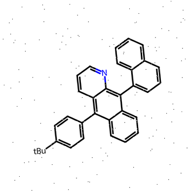 CC(C)(C)c1ccc(-c2c3ccccc3c(-c3cccc4ccccc34)c3ncccc23)cc1